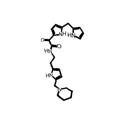 O=C(NCCc1ccc(CN2CCCCC2)[nH]1)C(=O)c1ccc(Cc2ccc[nH]2)[nH]1